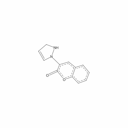 O=c1oc2ccccc2cc1N1C=CCN1